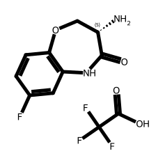 N[C@H]1COc2ccc(F)cc2NC1=O.O=C(O)C(F)(F)F